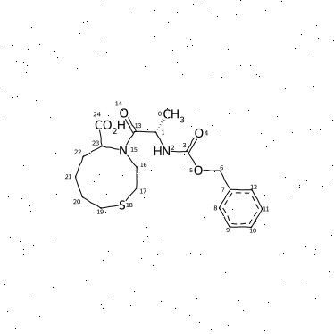 C[C@H](NC(=O)OCc1ccccc1)C(=O)N1CCSCCCCC1C(=O)O